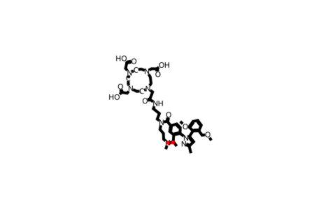 COCc1cccc(OC)c1-c1cc(C)nn1-c1ccc(C(=O)N(CCCNC(=O)CN2CCN(CC(=O)O)CCN(CC(=O)O)CCN(CC(=O)O)CC2)CCCN(C)C)cc1C(C)C